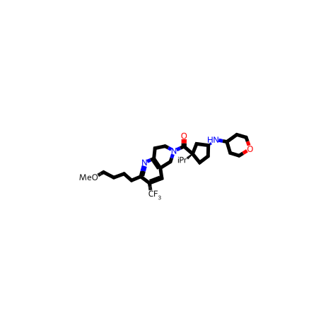 COCCCCc1nc2c(cc1C(F)(F)F)CN(C(=O)[C@@]1(C(C)C)CC[C@H](NC3CCOCC3)C1)CC2